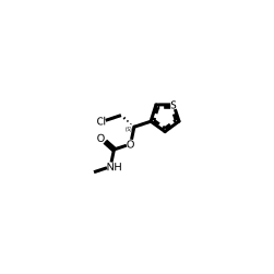 CNC(=O)O[C@H](CCl)c1ccsc1